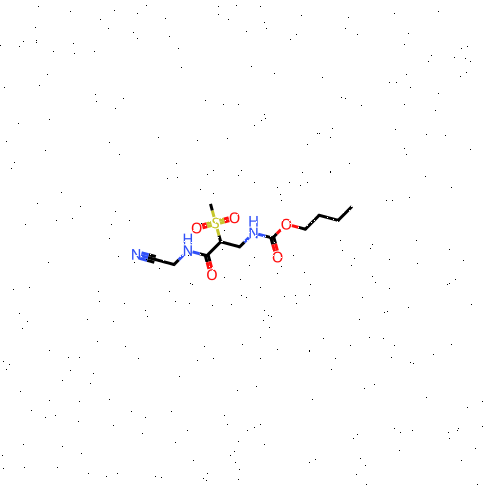 CCCCOC(=O)NCC(C(=O)NCC#N)S(C)(=O)=O